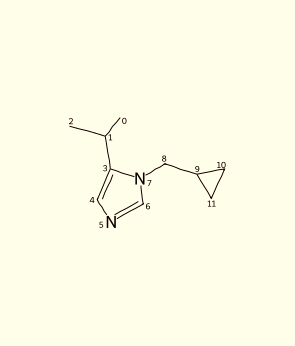 CC(C)c1cncn1CC1CC1